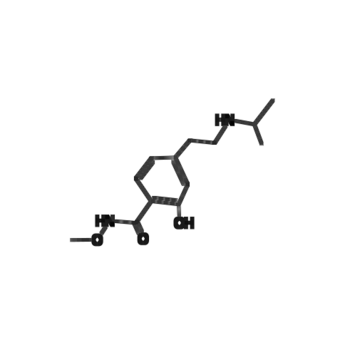 CONC(=O)c1ccc(CCNC(C)C)cc1O